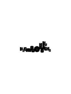 C=C(C)C(=O)Nc1ccc(OC(=O)NCCC)cc1